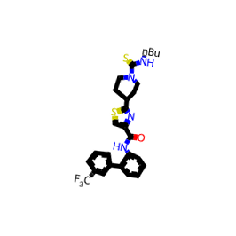 CCCCNC(=S)N1CCC(c2nc(C(=O)Nc3ccccc3-c3cccc(C(F)(F)F)c3)cs2)CC1